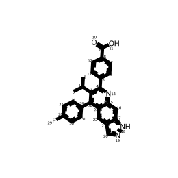 CC(C)c1c(-c2ccc(C(=O)O)cc2)nc2cc3[nH]ncc3cc2c1-c1ccc(F)cc1